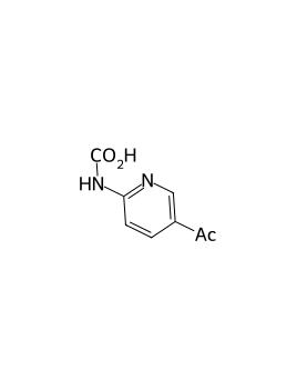 CC(=O)c1ccc(NC(=O)O)nc1